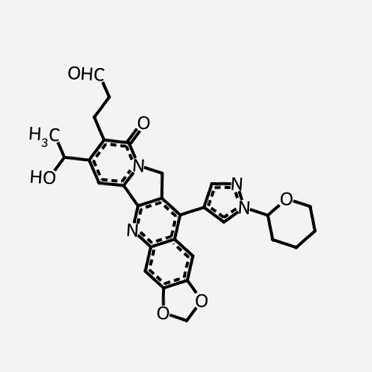 CC(O)c1cc2n(c(=O)c1CCC=O)Cc1c-2nc2cc3c(cc2c1-c1cnn(C2CCCCO2)c1)OCO3